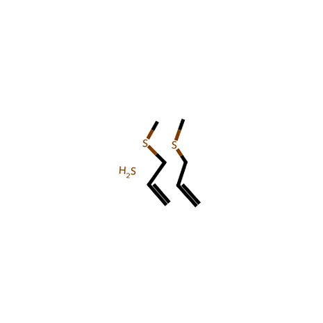 C=CCSC.C=CCSC.S